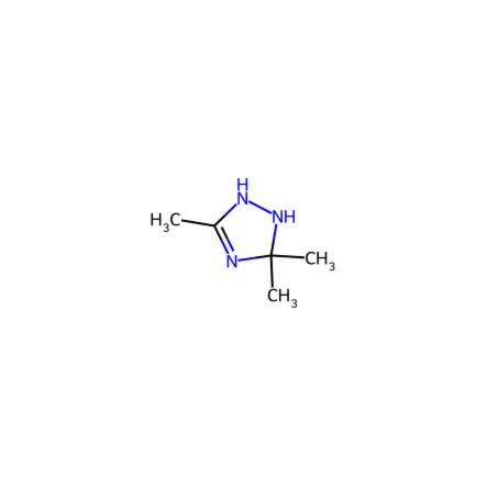 CC1=NC(C)(C)NN1